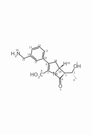 C[C@@H](O)[C@H]1C(=O)N2C(C(=O)O)=C(c3cccc(CN)c3)C[C@H]12